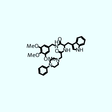 COc1cc(CNC(=O)C(Cc2c[nH]c3ccccc23)NC(=O)CN2CCN(c3ccccc3)CC2)cc(OC)c1OC